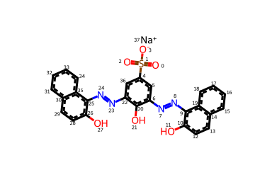 O=S(=O)([O-])c1cc(N=Nc2c(O)ccc3ccccc23)c(O)c(N=Nc2c(O)ccc3ccccc23)c1.[Na+]